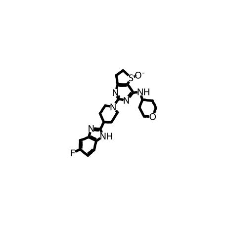 [O-][S+]1CCc2nc(N3CCC(c4nc5cc(F)ccc5[nH]4)CC3)nc(NC3CCOCC3)c21